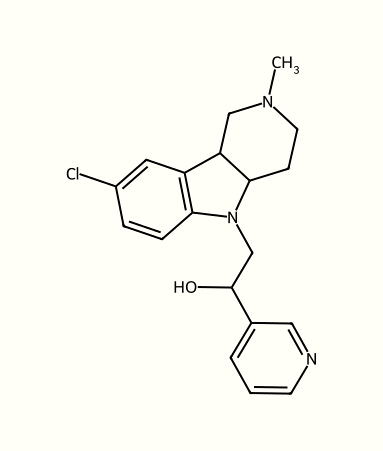 CN1CCC2C(C1)c1cc(Cl)ccc1N2CC(O)c1cccnc1